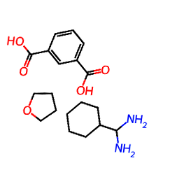 C1CCOC1.NC(N)C1CCCCC1.O=C(O)c1cccc(C(=O)O)c1